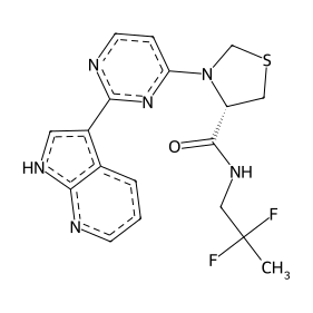 CC(F)(F)CNC(=O)[C@H]1CSCN1c1ccnc(-c2c[nH]c3ncccc23)n1